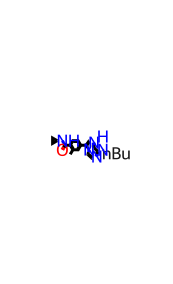 CCCCNc1nccn2c(-c3ccc(C(=O)NC4CC4)c(C)c3)cnc12